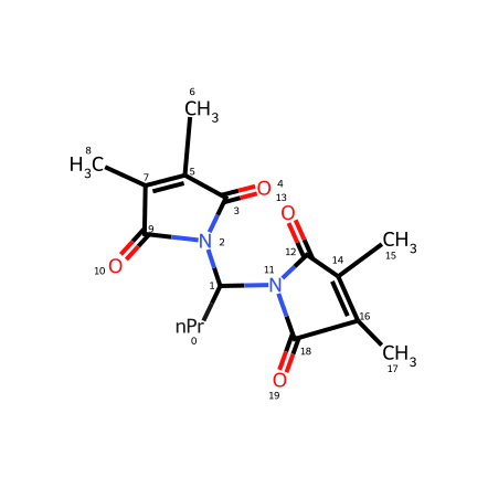 CCCC(N1C(=O)C(C)=C(C)C1=O)N1C(=O)C(C)=C(C)C1=O